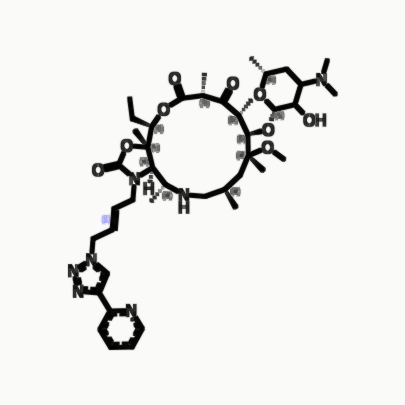 CC[C@H]1OC(=O)[C@H](C)C(=O)[C@H](C)[C@@H](O[C@@H]2O[C@H](C)CC(N(C)C)C2O)[C@](C)(OC)C[C@@H](C)CN[C@H](C)[C@H]2N(C/C=C/Cn3cc(-c4ccccn4)nn3)C(=O)O[C@]12C